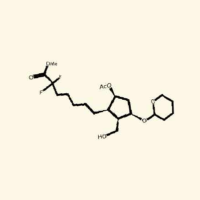 COC(=O)C(F)(F)CCCCC[C@@H]1[C@H](CO)[C@H](OC2CCCCO2)C[C@@H]1OC(C)=O